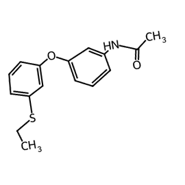 CCSc1cccc(Oc2cccc(NC(C)=O)c2)c1